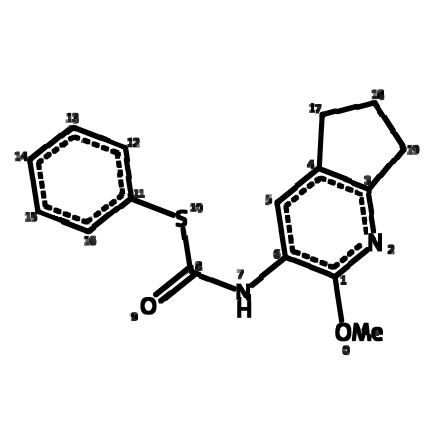 COc1nc2c(cc1NC(=O)Sc1ccccc1)CCC2